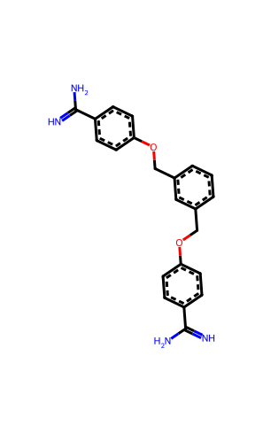 N=C(N)c1ccc(OCc2cccc(COc3ccc(C(=N)N)cc3)c2)cc1